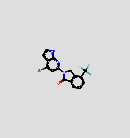 O=C1c2cccc(C(F)(F)F)c2CN1c1cc(Br)c2cc[nH]c2n1